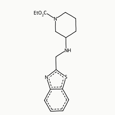 CCOC(=O)N1CCCC(NCc2nc3ccccc3s2)C1